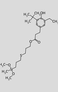 CCc1cc(CCC(=O)OCCCSCCC[Si](C)(OC)OC)cc(C(C)(C)C)c1O